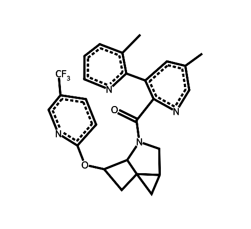 Cc1cnc(C(=O)N2CC3CC34CC(Oc3ccc(C(F)(F)F)cn3)C24)c(-c2ncccc2C)c1